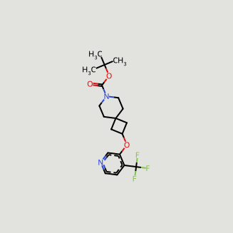 CC(C)(C)OC(=O)N1CCC2(CC1)CC(Oc1cnccc1C(F)(F)F)C2